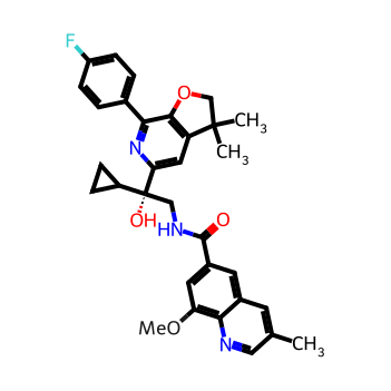 COc1cc(C(=O)NC[C@](O)(c2cc3c(c(-c4ccc(F)cc4)n2)OCC3(C)C)C2CC2)cc2cc(C)cnc12